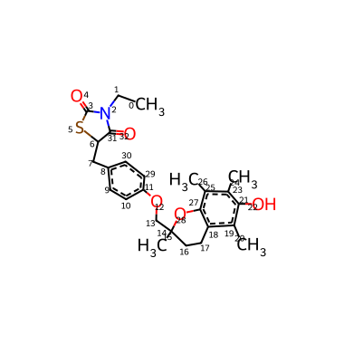 CCN1C(=O)SC(Cc2ccc(OCC3(C)CCc4c(C)c(O)c(C)c(C)c4O3)cc2)C1=O